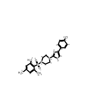 Cc1cc(C)c(S(=O)(=O)N2CCN(c3nc(-c4ccc(Cl)cc4)cs3)CC2)c(C)c1